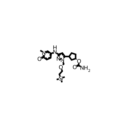 Cn1cc(Nc2cc(C3CC[C@H](OC(N)=O)C3)n(COCC[Si](C)(C)C)n2)ccc1=O